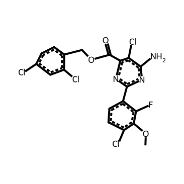 COc1c(Cl)ccc(-c2nc(N)c(Cl)c(C(=O)OCc3ccc(Cl)cc3Cl)n2)c1F